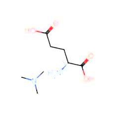 CN(C)C.N[C@@H](CCC(=O)O)C(=O)O